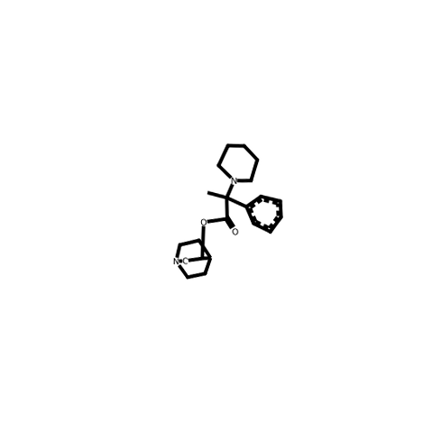 CC(C(=O)OC1CN2CCC1CC2)(c1ccccc1)N1CCCCC1